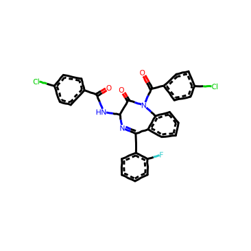 O=C(NC1N=C(c2ccccc2F)c2ccccc2N(C(=O)c2ccc(Cl)cc2)C1=O)c1ccc(Cl)cc1